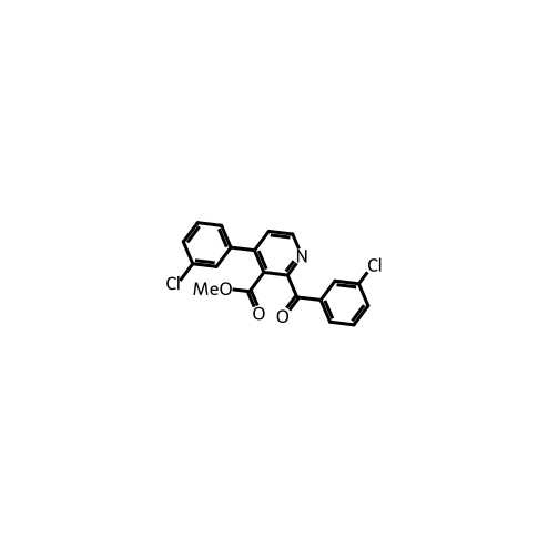 COC(=O)c1c(-c2cccc(Cl)c2)ccnc1C(=O)c1cccc(Cl)c1